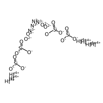 O=[Si]([O-])[O-].O=[Si]([O-])[O-].O=[Si]([O-])[O-].O=[Si]([O-])[O-].[Hf+4].[Hf+4].[Hf+4].[Hf+4].[Hf+4].[Hf+4].[Hf+4].[N-3].[N-3].[N-3].[N-3].[O-2].[O-2].[O-2].[O-2]